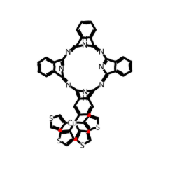 c1ccc2c(c1)-c1nc-2nc2[nH]c(nc3nc(nc4[nH]c(n1)c1ccccc41)-c1ccccc1-3)c1c[c]([Cu]([c]3ccsc3)([c]3ccsc3)([c]3ccsc3)[c]3ccsc3)ccc21